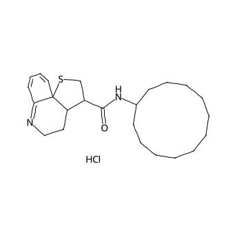 Cl.O=C(NC1CCCCCCCCCCC1)C1CSC23C=CC=CC2=NCCC13